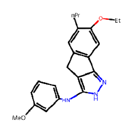 CCCc1cc2c(cc1OCC)-c1n[nH]c(Nc3cccc(OC)c3)c1C2